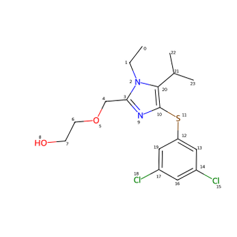 CCn1c(COCCO)nc(Sc2cc(Cl)cc(Cl)c2)c1C(C)C